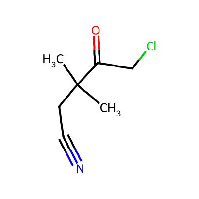 CC(C)(CC#N)C(=O)CCl